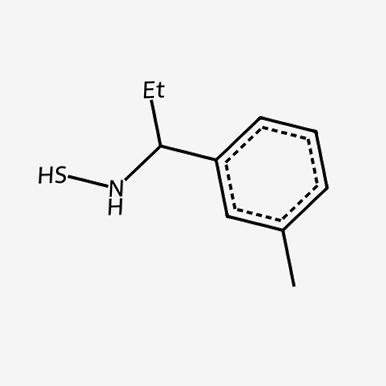 CCC(NS)c1cccc(C)c1